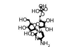 NC1=NC(=O)[N+]([C@@H]2O[C@H](COP(=O)(O)O)[C@@H](O)[C@H]2O)([C@@H]2O[C@H](CO)[C@@H](O)[C@@H]2O)C=C1